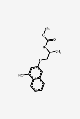 C[C@@H](COc1cc(C#N)c2ccccc2c1)NC(=O)OC(C)(C)C